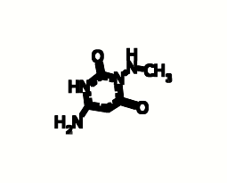 CNn1c(=O)cc(N)[nH]c1=O